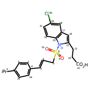 CC(C)c1ccc(C=CCS(=O)(=O)n2c(CCC(=O)O)cc3cc(Cl)ccc32)cc1